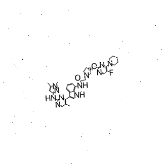 Cc1cnc(Nc2cc(C)n(C)n2)nc1-c1c[nH]c2c(NC(=O)CN3CC[C@H](Oc4ncc(F)c(N5CCCCC5)n4)C3)cccc12